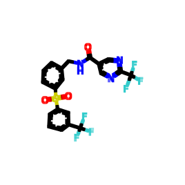 O=C(NCc1cccc(S(=O)(=O)c2cccc(C(F)(F)F)c2)c1)c1cnc(C(F)(F)F)nc1